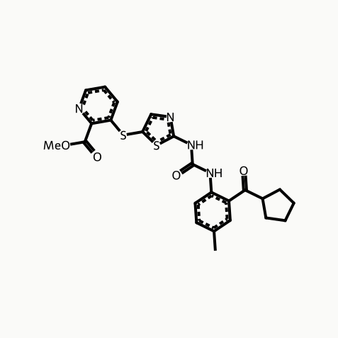 COC(=O)c1ncccc1Sc1cnc(NC(=O)Nc2ccc(C)cc2C(=O)C2CCCC2)s1